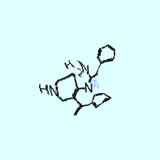 C=C(C1=C(/N=C(\N)Cc2ccccc2)CCNC1)c1ccccc1